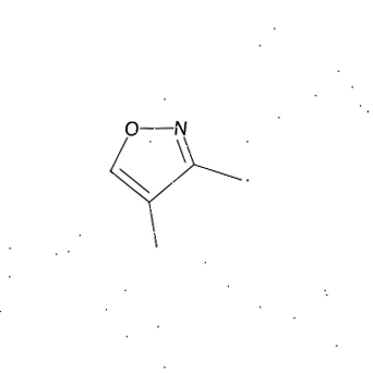 [CH2]c1nocc1C